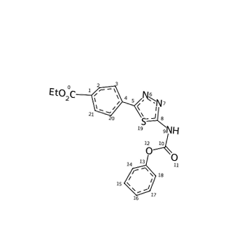 CCOC(=O)c1ccc(-c2nnc(NC(=O)Oc3ccccc3)s2)cc1